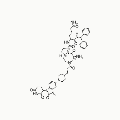 Cn1c(=O)n(C2CCC(=O)NC2=O)c2ccc([C@H]3CC[C@H](CCC(=O)N4CC[C@H]5CC[C@@H](C(=O)NC(CCCC(N)=O)C(=O)NC(c6ccccc6)c6ccccc6)N5C(=O)[C@@H](N)C4)CC3)cc21